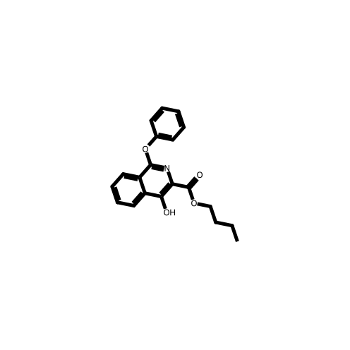 CCCCOC(=O)c1nc(Oc2ccccc2)c2ccccc2c1O